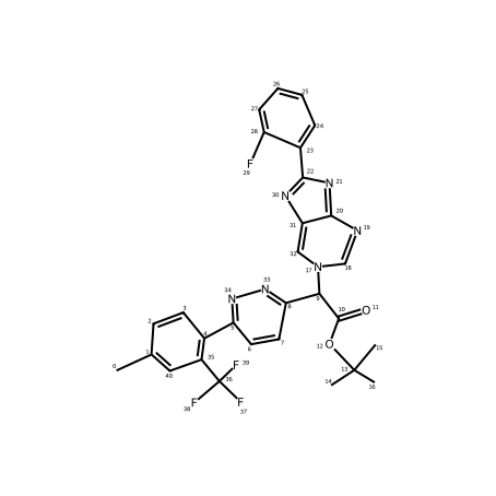 Cc1ccc(-c2ccc(C(C(=O)OC(C)(C)C)n3cnc4nc(-c5ccccc5F)nc-4c3)nn2)c(C(F)(F)F)c1